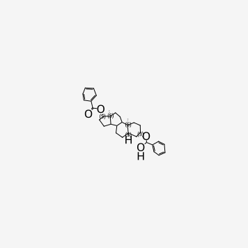 C[C@]12CCC3C(CC[C@H]4C[C@@H](OC(O)c5ccccc5)CC[C@]34C)C1CC[C@@H]2OC(=O)c1ccccc1